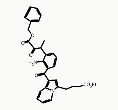 CCOC(=O)CCCc1cc(C(=O)c2cccc(C(C)C(=O)C(=O)OCc3ccccc3)c2N)c2ccccn12